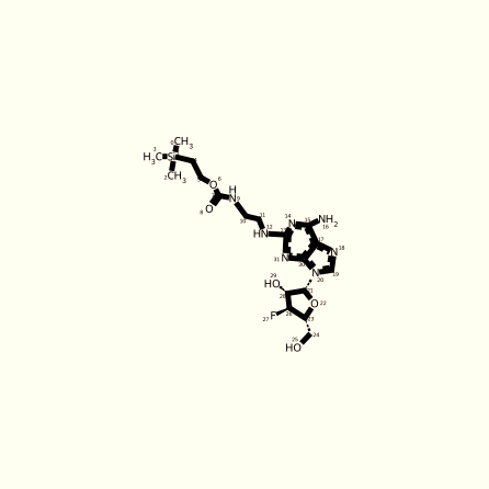 C[Si](C)(C)CCOC(=O)NCCNc1nc(N)c2ncn([C@@H]3O[C@H](CO)[C@@H](F)[C@@H]3O)c2n1